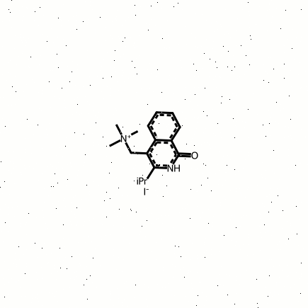 CC(C)c1[nH]c(=O)c2ccccc2c1C[N+](C)(C)C.[I-]